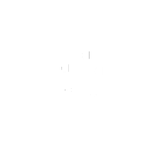 ClC(Cl)(Cl)C1OCCCO1